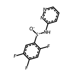 [O-][S+](Nc1cccnn1)c1cc(F)c(F)cc1F